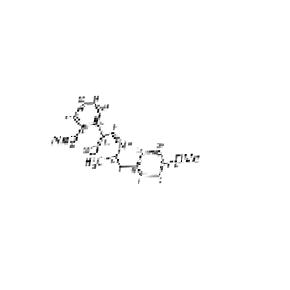 COc1ccc(CC(C)/N=C\C(=O)c2ccccc2OC)cc1